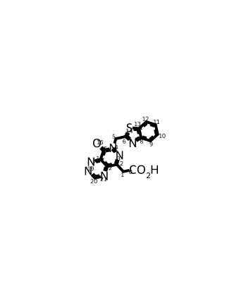 O=C(O)Cc1nn(Cc2nc3ccccc3s2)c(=O)c2nncnc12